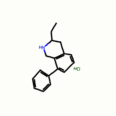 CCC1Cc2cccc(-c3ccccc3)c2CN1.Cl